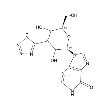 O=c1[nH]cnc2c1ncn2[C@@H]1O[C@H](CO)C(O)N(c2nnn[nH]2)C1O